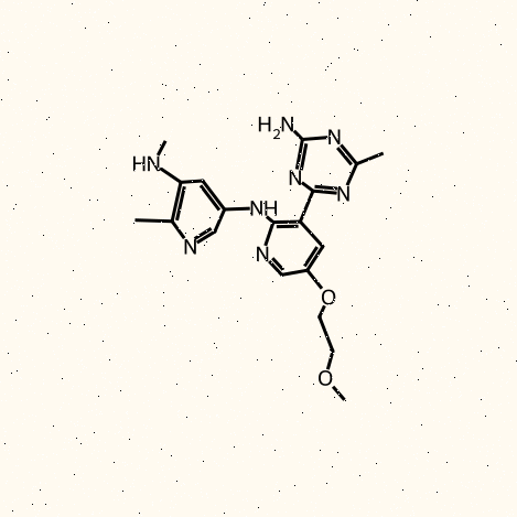 CNc1cc(Nc2ncc(OCCOC)cc2-c2nc(C)nc(N)n2)cnc1C